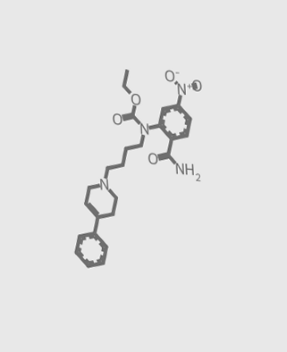 CCOC(=O)N(CCCCN1CC=C(c2ccccc2)CC1)c1cc([N+](=O)[O-])ccc1C(N)=O